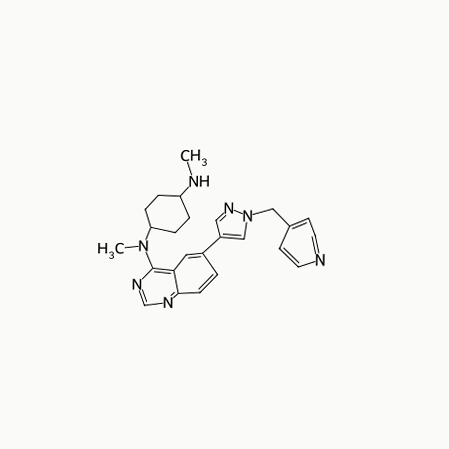 CNC1CCC(N(C)c2ncnc3ccc(-c4cnn(Cc5ccncc5)c4)cc23)CC1